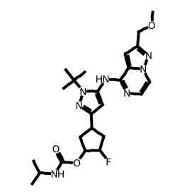 COCc1cc2c(Nc3cc(C4CC(F)C(OC(=O)NC(C)C)C4)nn3C(C)(C)C)nccn2n1